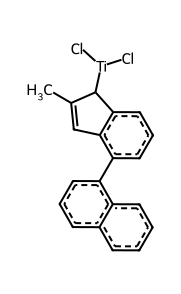 CC1=Cc2c(-c3cccc4ccccc34)cccc2[CH]1[Ti]([Cl])[Cl]